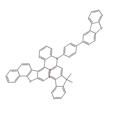 CC1(C)c2ccccc2-c2ccc(N(c3ccc(-c4ccc5oc6ccccc6c5c4)cc3)c3ccccc3-c3cccc4oc5c6ccccc6ccc5c34)cc21